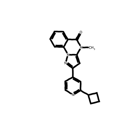 Cn1c(=O)c2ccccc2n2nc(-c3ccnc(C4CCC4)c3)cc12